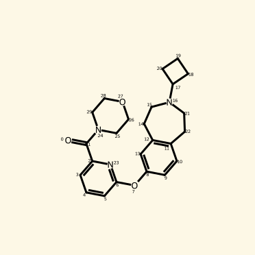 O=C(c1cccc(Oc2ccc3c(c2)CCN(C2CCC2)CC3)n1)N1CCOCC1